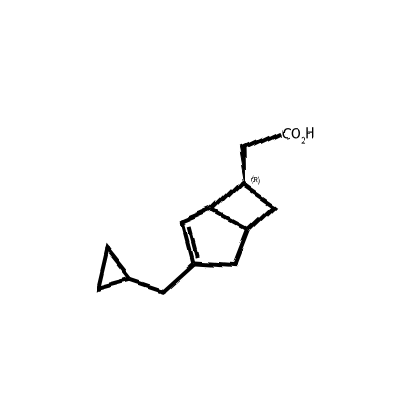 O=C(O)C[C@H]1CC2CC(CC3CC3)=CC21